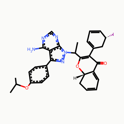 CC(C)Oc1ccc(-c2nn(C(C)C3=C(C4=CC=C[C@H](I)C4)C(=O)C4=CC=CC[C@@H]4O3)c3ncnc(N)c23)cc1